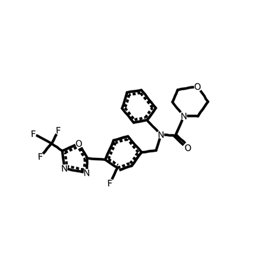 O=C(N1CCOCC1)N(Cc1ccc(-c2nnc(C(F)(F)F)o2)c(F)c1)c1ccccc1